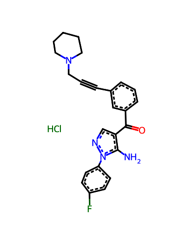 Cl.Nc1c(C(=O)c2cccc(C#CCN3CCCCC3)c2)cnn1-c1ccc(F)cc1